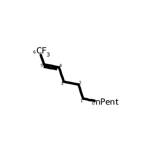 CCCCCCCCC=CC(F)(F)F